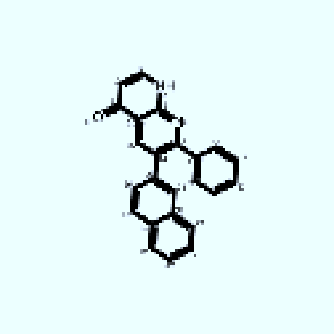 O=c1cc[nH]c2nc(-c3ccccc3)c(-c3ccc4ccccc4c3)cc12